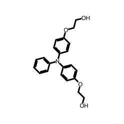 OCCOc1ccc(N(c2ccccc2)c2ccc(OCCO)cc2)cc1